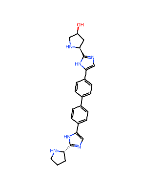 O[C@@H]1CN[C@H](c2ncc(-c3ccc(-c4ccc(-c5cnc([C@@H]6CCCN6)[nH]5)cc4)cc3)[nH]2)C1